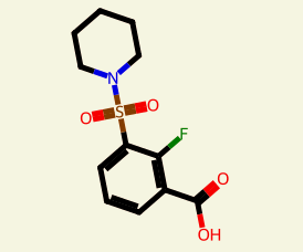 O=C(O)c1cccc(S(=O)(=O)N2CCCCC2)c1F